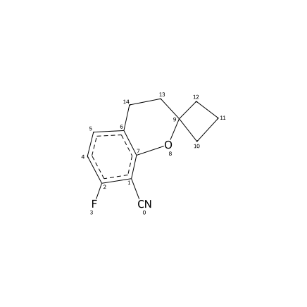 N#Cc1c(F)ccc2c1OC1(CCC1)CC2